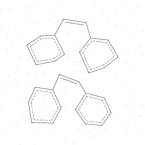 C(=C/c1ccccc1)/c1ccccc1.C(=C/c1ccccc1)/c1ccccc1